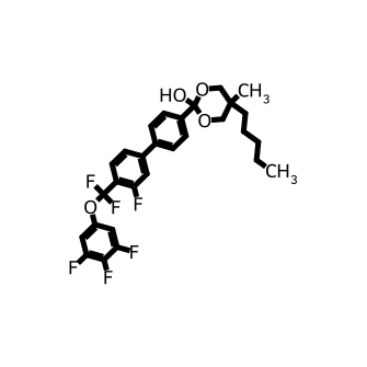 CCCCCC1(C)COC(O)(c2ccc(-c3ccc(C(F)(F)Oc4cc(F)c(F)c(F)c4)c(F)c3)cc2)OC1